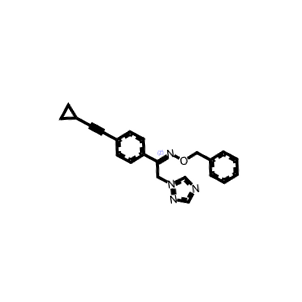 C(#CC1CC1)c1ccc(/C(Cn2cncn2)=N/OCc2ccccc2)cc1